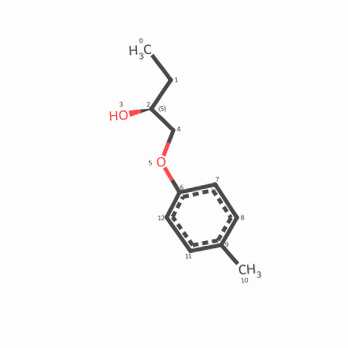 CC[C@H](O)COc1ccc(C)cc1